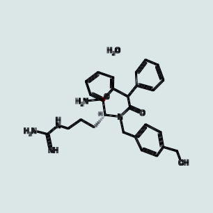 N=C(N)NCCC[C@H](C(N)=O)N(Cc1ccc(CO)cc1)C(=O)C(c1ccccc1)c1ccccc1.O